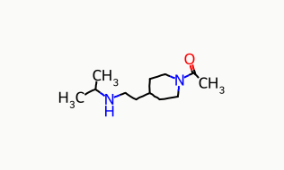 CC(=O)N1CCC(CCNC(C)C)CC1